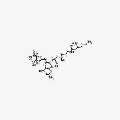 NCCCC(N)CC(=O)NCCCC(N)CC(=O)N[C@@H]1[C@H](O)[C@@H](OC(N)=O)[C@@H](CO)O[C@H]1/N=C1\N[C@@H]2[C@H](O)CNC(=O)[C@H]2N1